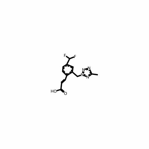 Cc1nnn(Cc2cc(C(F)F)ccc2/C=C/C(=O)O)n1